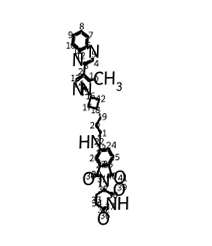 Cc1c(-c2cnc3ccccc3n2)cnn1[C@H]1C[C@@H](CCCNc2ccc3c(c2)C(=O)N(C2CCC(=O)NC2=O)C3=O)C1